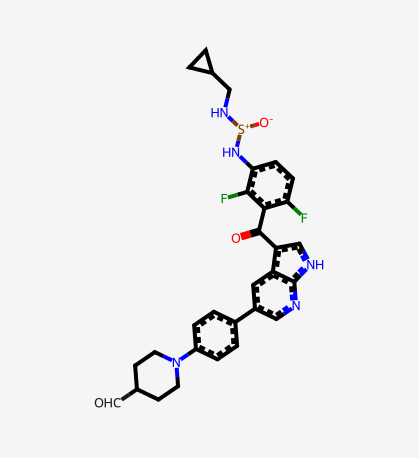 O=CC1CCN(c2ccc(-c3cnc4[nH]cc(C(=O)c5c(F)ccc(N[S+]([O-])NCC6CC6)c5F)c4c3)cc2)CC1